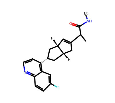 CCNC(=O)C(C)C1=C[C@H]2C[C@@H](c3ccnc4ccc(F)cc34)C[C@H]2C1